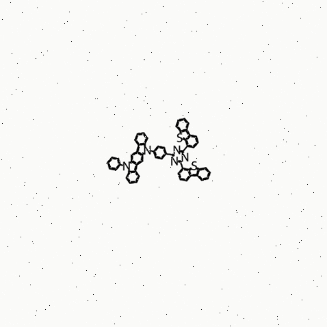 c1ccc(-n2c3ccccc3c3cc4c(cc32)c2ccccc2n4-c2ccc(-c3nc(-c4cccc5c4sc4ccccc45)nc(-c4cccc5c4sc4ccccc45)n3)cc2)cc1